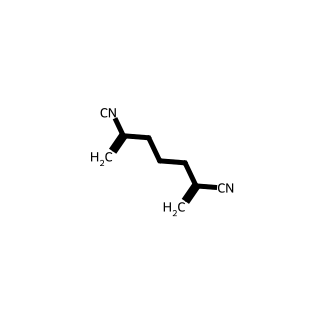 [C-]#[N+]C(=C)CCCC(=C)C#N